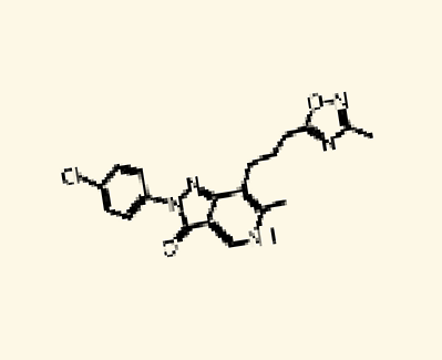 Cc1noc(CCCc2c3nn(-c4ccc(Cl)cc4)c(=O)c-3c[nH]c2C)n1